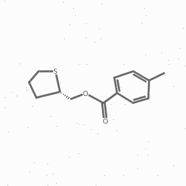 Cc1ccc(C(=O)OC[C@@H]2CCCS2)cc1